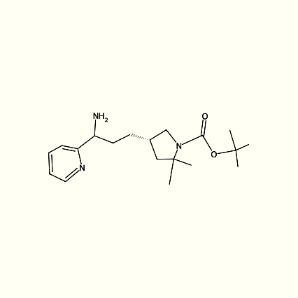 CC(C)(C)OC(=O)N1C[C@@H](CCC(N)c2ccccn2)CC1(C)C